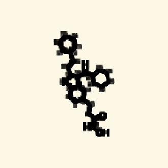 O=C(C=Cc1ccc2nc(C=Cc3ccccc3)c(NC3CCCCC3)n2c1)NO